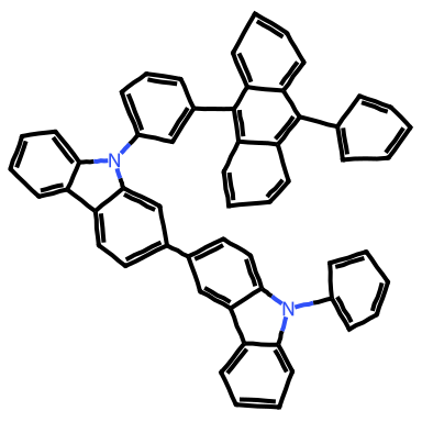 c1ccc(-c2c3ccccc3c(-c3cccc(-n4c5ccccc5c5ccc(-c6ccc7c(c6)c6ccccc6n7-c6ccccc6)cc54)c3)c3ccccc23)cc1